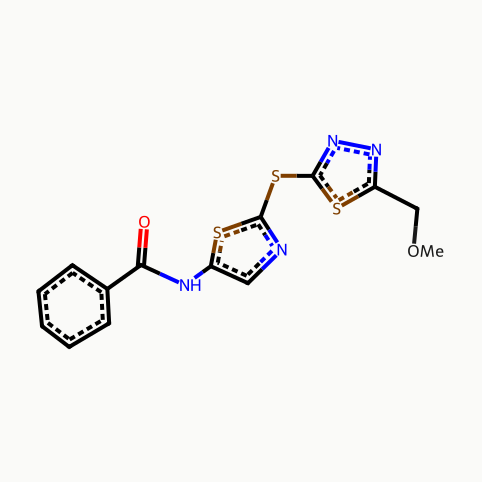 COCc1nnc(Sc2ncc(NC(=O)c3ccccc3)s2)s1